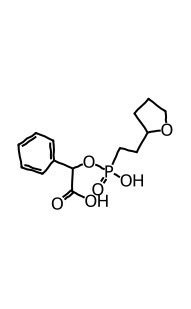 O=C(O)C(OP(=O)(O)CCC1CCCO1)c1ccccc1